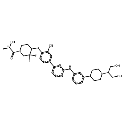 C[C@@H](O)C(=O)N1CCC(Oc2ccc(-c3ccnc(Nc4cccc(C5CCN(C(CO)CO)CC5)c4)n3)cc2C#N)C(F)(F)C1